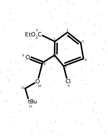 CCOC(=O)c1cccc(Cl)c1C(=O)OCC(C)(C)C